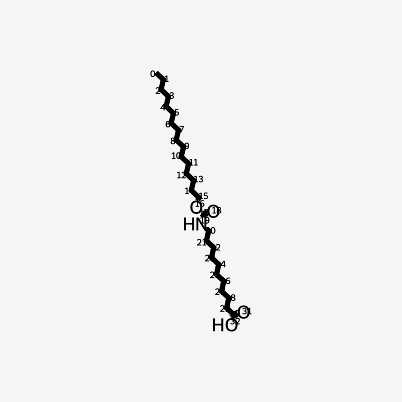 CCCCCCCCCCCCCCCCOC(=O)NCCCCCCCCCCC(=O)O